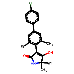 CCc1cc(-c2ccc(Cl)cc2)cc(C)c1C1=C(O)C(C)(C(C)C)NC1=O